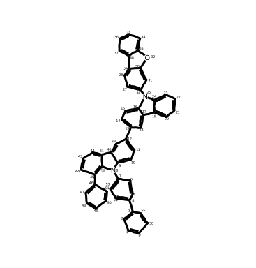 c1ccc(-c2ccc(-n3c4ccc(-c5ccc6c(c5)c5ccccc5n6-c5ccc6c(c5)oc5ccccc56)cc4c4cccc(-c5ccccc5)c43)cc2)cc1